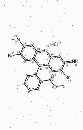 COC(=O)c1ccccc1-c1c2cc(Br)c(=N)cc-2oc2cc(N)c(Br)cc12.Cl